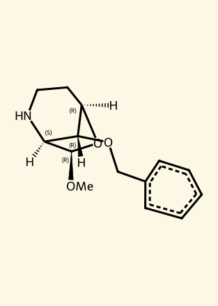 CO[C@@H]1O[C@@H]2CCN[C@H]1[C@H]2OCc1ccccc1